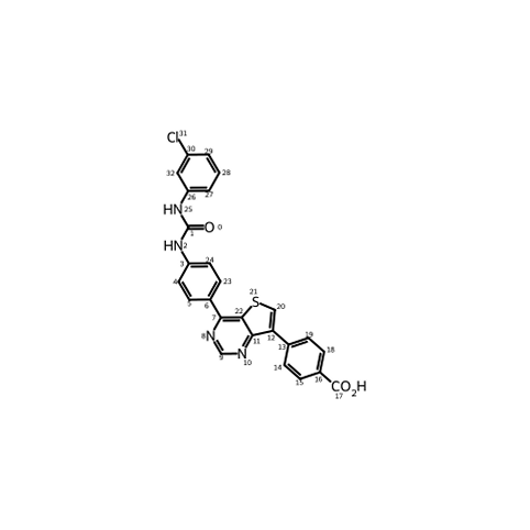 O=C(Nc1ccc(-c2ncnc3c(-c4ccc(C(=O)O)cc4)csc23)cc1)Nc1cccc(Cl)c1